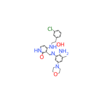 Cc1cc(N2CCOCC2)cc(/N=C/c2c(NC[C@@H](O)c3cccc(Cl)c3)cc[nH]c2=O)c1N